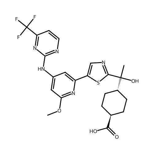 COc1cc(Nc2nccc(C(F)(F)F)n2)cc(-c2cnc(C(C)(O)[C@H]3CC[C@H](C(=O)O)CC3)s2)n1